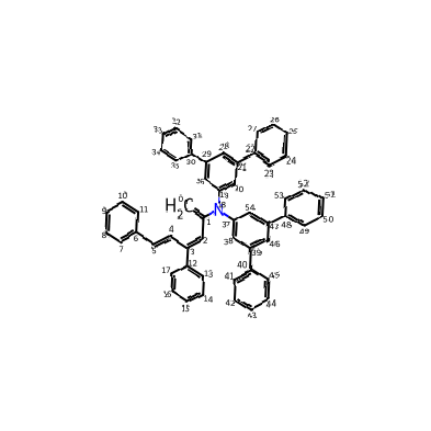 C=C(/C=C(\C=C\c1ccccc1)c1ccccc1)N(c1cc(-c2ccccc2)cc(-c2ccccc2)c1)c1cc(-c2ccccc2)cc(-c2ccccc2)c1